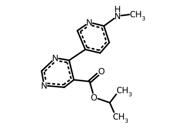 CNc1ccc(-c2ncncc2C(=O)OC(C)C)cn1